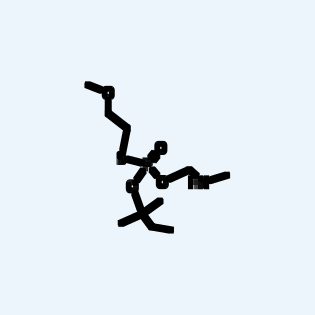 CCC(C)(C)OP(=O)(OCNC)SCCOC